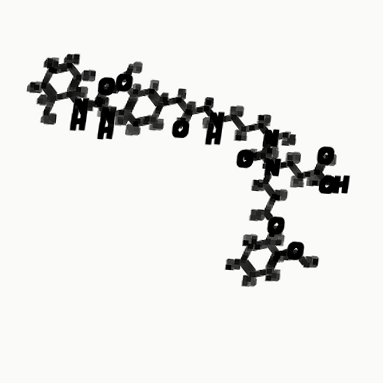 COc1cc(CC(=O)CNCCCN(C)C(=O)N(CCCOc2ccccc2OC)CCC(=O)O)ccc1NC(=O)Nc1ccccc1C